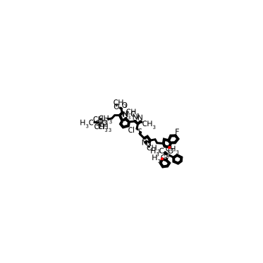 COC(=O)c1c(CCCO[Si](C)(C)C(C)(C)C)c2ccc(Cl)c(-c3c(CSCc4cc(CCc5cc(O[Si](c6ccccc6)(c6ccccc6)C(C)(C)C)c6ccc(F)cc6c5)n(C)n4)c(C)nn3C)c2n1C